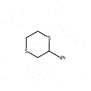 CC(C)C1CSCCS1